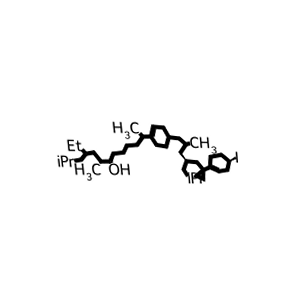 CCC(CC(C)C)C[C@H](C)C(O)CCCCC(C)C1=CCC(CC(C)C[C@H](CC(C)C)CC2(C3=CC[C@H](I)CC3)CC2)CC1